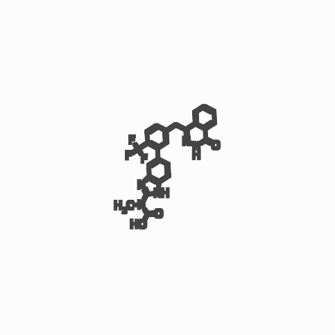 CN(C(=O)O)c1nc2cc(-c3cc(Cc4n[nH]c(=O)c5ccccc45)ccc3C(F)(F)F)ccc2[nH]1